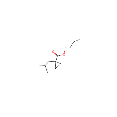 CCCCOC(=O)C1(CC(C)C)CC1